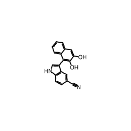 N#Cc1ccc2[nH]cc(-c3c(O)c(O)cc4ccccc34)c2c1